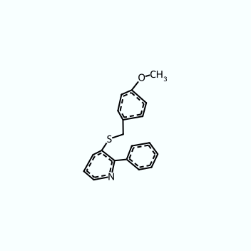 COc1ccc(CSc2cccnc2-c2ccccc2)cc1